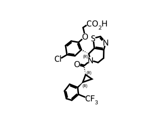 O=C(O)COc1ccc(Cl)cc1[C@@H]1c2scnc2CCN1C(=O)[C@@H]1C[C@H]1c1ccccc1C(F)(F)F